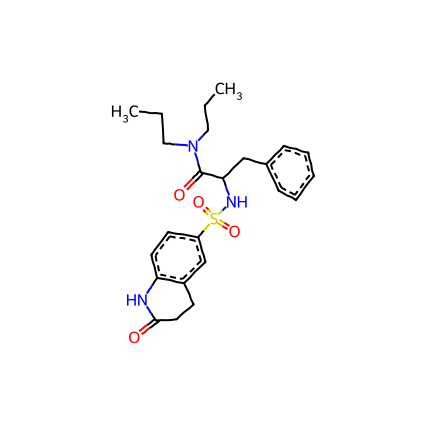 CCCN(CCC)C(=O)C(Cc1ccccc1)NS(=O)(=O)c1ccc2c(c1)CCC(=O)N2